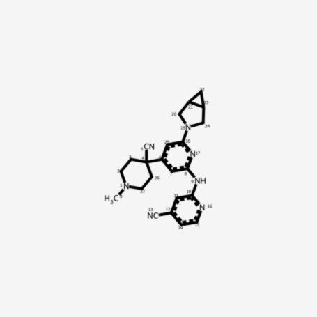 CN1CCC(C#N)(c2cc(Nc3cc(C#N)ccn3)nc(N3CC4CC4C3)c2)CC1